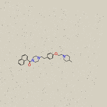 CC1CCN(CCOc2ccc(CCN3CCN(C(=O)c4cccc5ccccc45)CC3)cc2)CC1